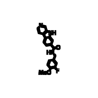 COc1ccc(CNC(=O)c2ccc3c(c2)[nH]c2cnccc23)cc1F